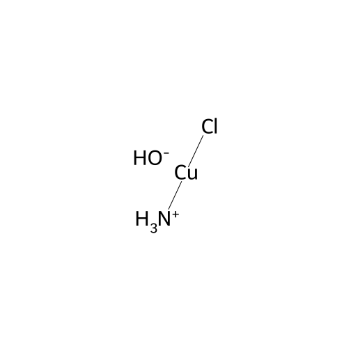 [NH3+][Cu][Cl].[OH-]